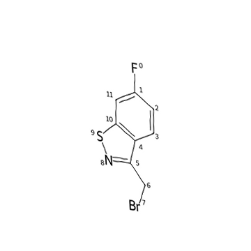 Fc1ccc2c(CBr)nsc2c1